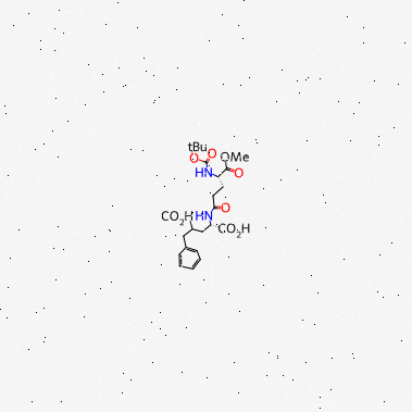 COC(=O)[C@H](CCC(=O)N[C@@H](CC(Cc1ccccc1)C(=O)O)C(=O)O)NC(=O)OC(C)(C)C